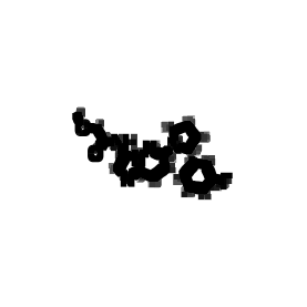 COCC(=O)Nc1cnc2ccc(N3CCC[C@@H]3c3cccc(F)c3)nn12